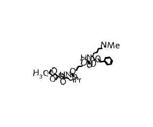 CNCCCCC(NC(=O)OCCCOC(=O)NC(CC(C)C)C(=O)O[C@@H]1COC2C1OC[C@@H]2C)C(=O)OCc1ccccc1